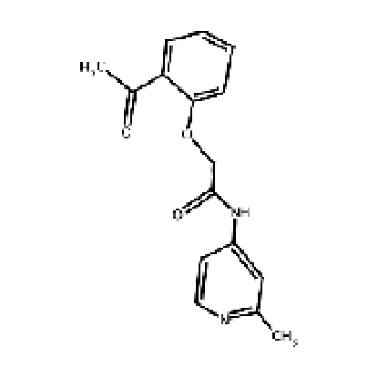 CC(=O)c1ccccc1OCC(=O)Nc1ccnc(C)c1